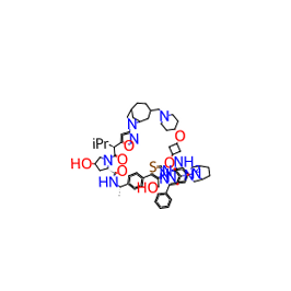 Cc1ncsc1-c1ccc([C@H](C)NC(=O)[C@@H]2C[C@@H](O)CN2C(=O)[C@H](c2cc(N3CC4CCC(CN5CCC(O[C@H]6C[C@H](Oc7cc(N8C9CCC8CN(c8cc(-c%10ccccc%10O)nnc8N)C9)ccn7)C6)CC5)CC3C4)no2)C(C)C)cc1